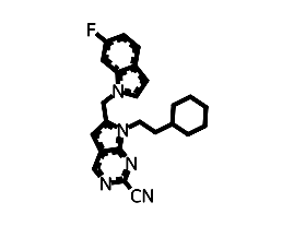 N#Cc1ncc2cc(Cn3ccc4ccc(F)cc43)n(CCC3CCCCC3)c2n1